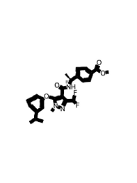 COC(=O)c1ccc([C@H](C)NC(=O)c2c(C(F)F)nn(C)c2Oc2cccc(C(C)C)c2)cc1